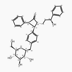 O=C1[C@H](CC[C@H](O)c2ccccc2)[C@@H](c2ccc(C[C@@H]3O[C@H](CO)[C@@H](O)[C@H](O)[C@H]3O)cc2)N1c1ccccc1